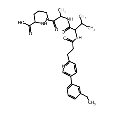 CCc1cccc(-c2ccc(CCC(=O)NC(C(=O)NC(C)C(=O)N3CCCC(C(=O)O)N3)C(C)C)nc2)c1